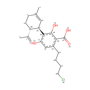 C=C(C)[C@@H]1CCC(C)=C[C@H]1c1c(O)cc(CCCCCl)c(C(=O)O)c1O